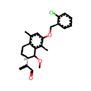 C=C(C=O)[C@@H]1CCc2c(C)cc(OCc3ccccc3Cl)c(C)c2C1OC